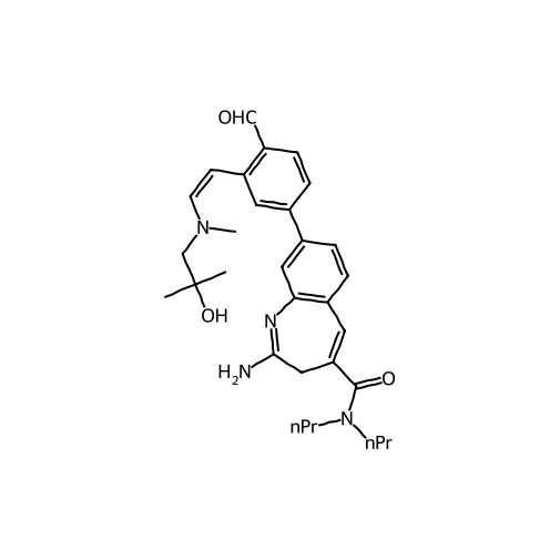 CCCN(CCC)C(=O)C1=Cc2ccc(-c3ccc(C=O)c(/C=C\N(C)CC(C)(C)O)c3)cc2N=C(N)C1